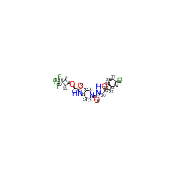 O=C(CO[C@H]1C[C@@H](C(F)(F)F)C1)NC1CCN(C(=O)NCc2cc3cc(Cl)ccc3o2)CC1